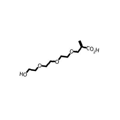 C=C(COCCOCCOCCO)C(=O)O